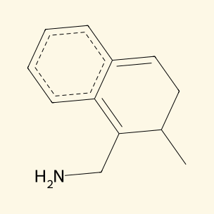 CC1CC=c2ccccc2=C1CN